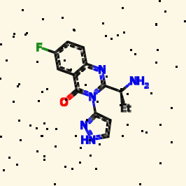 CC[C@H](N)c1nc2ccc(F)cc2c(=O)n1-c1cc[nH]n1